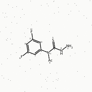 CC(=O)N(C(=S)NN)c1cc(F)cc(F)c1